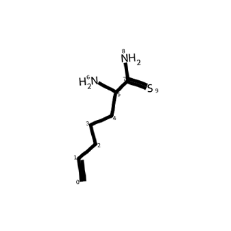 C=CCCCC(N)C(N)=S